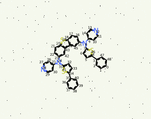 c1ccc(-c2ccc(N(c3ccncc3)c3ccc4sc5ccc(N(c6ccncc6)c6ccc(-c7ccccc7)s6)cc5c4c3)s2)cc1